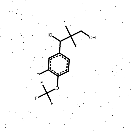 CC(C)(CO)C(O)c1ccc(OC(F)(F)F)c(F)c1